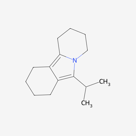 CC(C)c1c2c(c3n1CCCC3)CCCC2